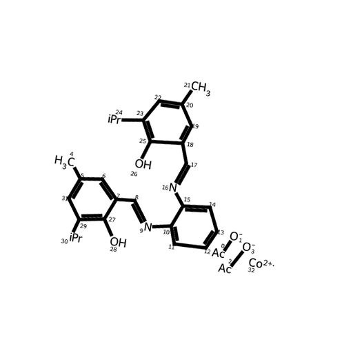 CC(=O)[O-].CC(=O)[O-].Cc1cc(C=Nc2ccccc2N=Cc2cc(C)cc(C(C)C)c2O)c(O)c(C(C)C)c1.[Co+2]